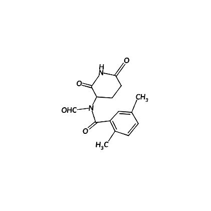 Cc1ccc(C)c(C(=O)N(C=O)C2CCC(=O)NC2=O)c1